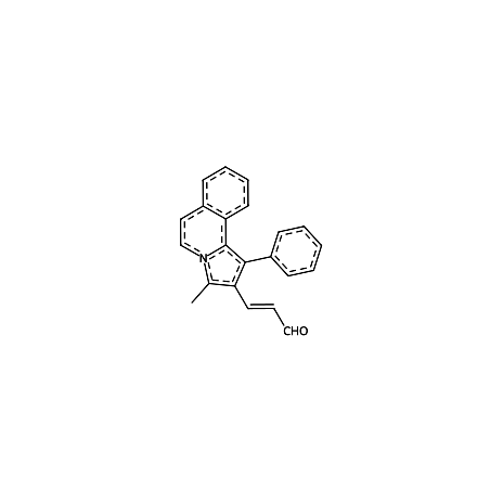 Cc1c(/C=C/C=O)c(-c2ccccc2)c2c3ccccc3ccn12